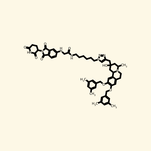 Cc1cc(C)cc(COc2cc3c(cc2OCc2cc(C)cc(C)c2)C2CC(O)(Cc4cn(CCCCCCNC(=O)CNc5ccc6c(c5)C(=O)N(C5CCC(=O)NC5=O)C6=O)nn4)CC(C)N2CC3)c1